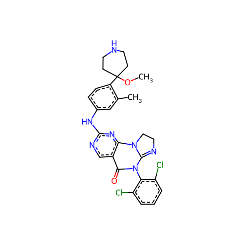 COC1(c2ccc(Nc3ncc4c(n3)N3CCN=C3N(c3c(Cl)cccc3Cl)C4=O)cc2C)CCNCC1